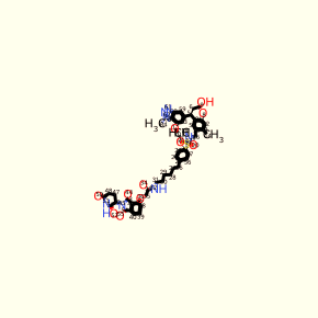 COc1cc([C@@H](CC(=O)O)c2ccc(C)c(CN(C)S(=O)(=O)c3ccc(CCCCCCNC(=O)COc4cccc5c4C(=O)N(C4CCC(=O)NC4=O)C5=O)cc3)c2)cc2nnn(C)c12